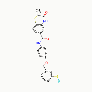 CC1Sc2ccc(C(=O)Nc3ccc(OCc4cccc(SF)c4)cc3)cc2NC1=O